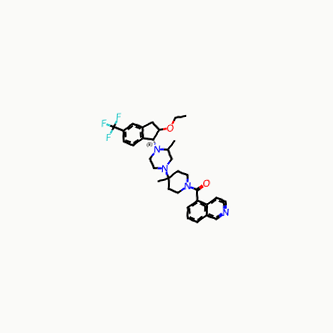 CCOC1Cc2cc(C(F)(F)F)ccc2[C@H]1N1CCN(C2(C)CCN(C(=O)c3cccc4cnccc34)CC2)CC1C